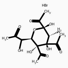 Br.CC(=O)C(O)[C@H]1O[C@](O)(C(C)=O)[C@H](N)[C@](O)(C(C)=O)[C@@]1(O)C(C)=O